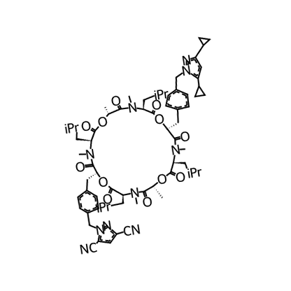 CC(C)C[C@H]1C(=O)O[C@H](Cc2ccc(Cn3nc(C4CC4)cc3C3CC3)cc2)C(=O)N(C)[C@@H](CC(C)C)C(=O)O[C@H](C)C(=O)N(C)[C@@H](CC(C)C)C(=O)O[C@H](Cc2ccc(Cn3nc(C#N)cc3C#N)cc2)C(=O)N(C)[C@@H](CC(C)C)C(=O)O[C@H](C)C(=O)N1C